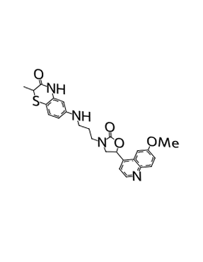 COc1ccc2nccc(C3CN(CCCNc4ccc5c(c4)NC(=O)C(C)S5)C(=O)O3)c2c1